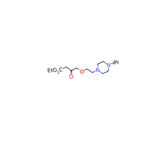 CCOC(=O)CC(=O)COCCN1CCN(C(C)C)CC1